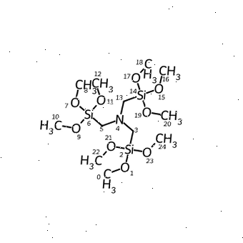 CO[Si](CN(C[Si](OC)(OC)OC)C[Si](OC)(OC)OC)(OC)OC